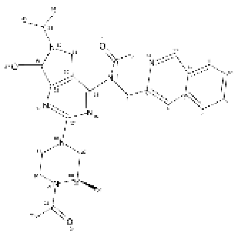 CC(=O)N(Cc1cc2ccccc2cn1)c1nc(N2CCN(C(C)=O)[C@H](C)C2)nc2c1CN(C(C)C)C2=O